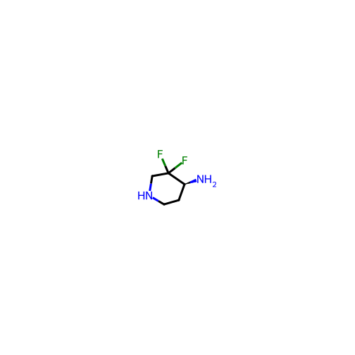 N[C@H]1CCNCC1(F)F